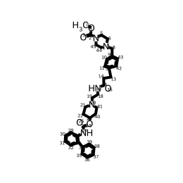 COC(=O)N1CCN(Cc2ccc(CCC(=O)NCCN3CCC(OC(=O)Nc4ccccc4-c4ccccc4)CC3)cc2)CC1